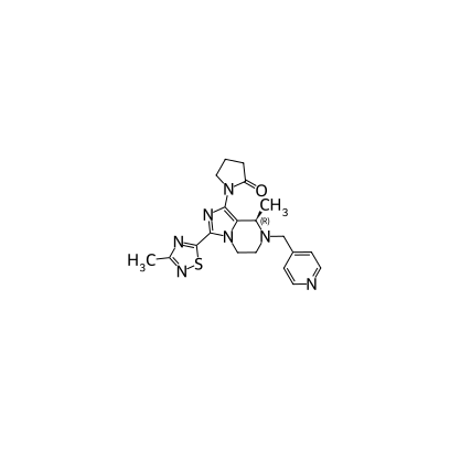 Cc1nsc(-c2nc(N3CCCC3=O)c3n2CCN(Cc2ccncc2)[C@@H]3C)n1